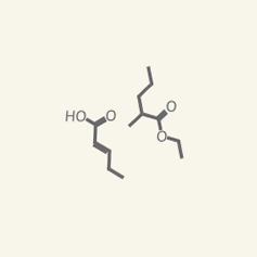 CCC=CC(=O)O.CCCC(C)C(=O)OCC